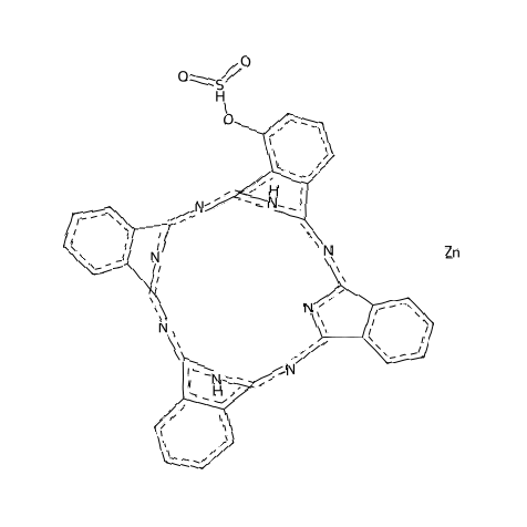 O=[SH](=O)Oc1cccc2c3nc4nc(nc5[nH]c(nc6nc(nc([nH]3)c12)-c1ccccc1-6)c1ccccc51)-c1ccccc1-4.[Zn]